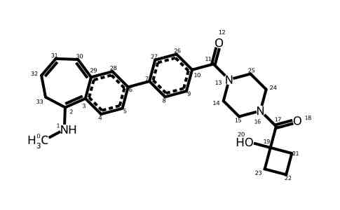 CNC1=c2ccc(-c3ccc(C(=O)N4CCN(C(=O)C5(O)CCC5)CC4)cc3)cc2=CC=CC1